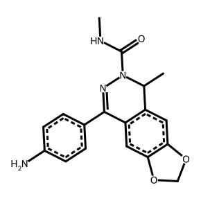 CNC(=O)N1N=C(c2ccc(N)cc2)c2cc3c(cc2C1C)OCO3